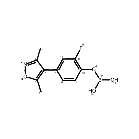 Cc1noc(C)c1-c1ccc(OB(O)O)c(F)c1